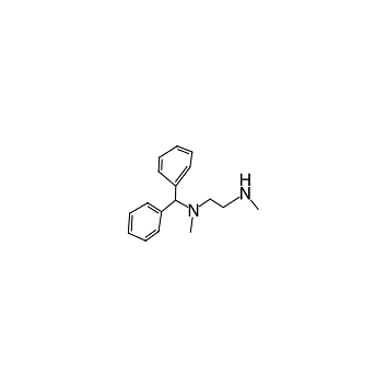 CNCCN(C)C(c1ccccc1)c1ccccc1